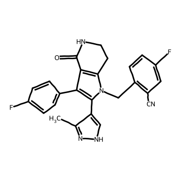 Cc1n[nH]cc1-c1c(-c2ccc(F)cc2)c2c(n1Cc1ccc(F)cc1C#N)CCNC2=O